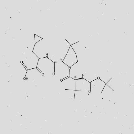 CC(C)(C)OC(=O)N[C@H](C(=O)N1CC2C([C@H]1C(=O)NC(CC1CC1)C(=O)C(=O)O)C2(C)C)C(C)(C)C